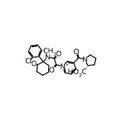 CN(C(=O)C(=O)[n+]1cccc(C(=O)N2CCC[C@@H]2C(=O)O)c1)C1(c2ccccc2Cl)CCCCC1=O